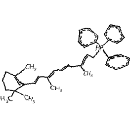 CC1=C(/C=C/C(C)=C/C=C/C(C)=C/C[PH](c2ccccc2)(c2ccccc2)c2ccccc2)C(C)(C)CCC1